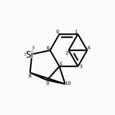 C1=C2C3=C(C23)C23C1[Si]C1C2C13